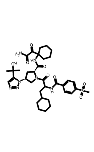 CC(C)(O)c1cnnn1[C@H]1C[C@@H](C(=O)NC2(C(=O)C(N)=O)CCCCC2)N(C(=O)C(CC2CCCCC2)NC(=O)c2ccc(S(C)(=O)=O)cc2)C1